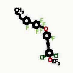 C=CCCc1ccc(-c2cc(F)c(C(F)(F)Oc3ccc(C#Cc4cc(Cl)c(OC(F)(F)F)c(Cl)c4)c(F)c3)c(F)c2)c(F)c1